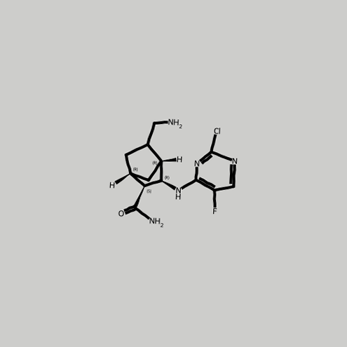 NCC1C[C@@H]2C[C@H]1[C@@H](Nc1nc(Cl)ncc1F)[C@H]2C(N)=O